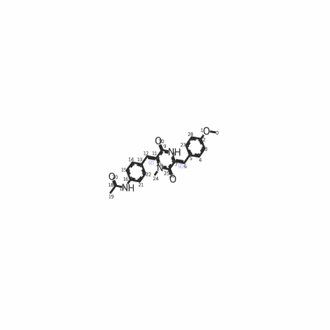 COc1ccc(/C=c2\[nH]c(=O)/c(=C/c3ccc(NC(C)=O)cc3)n(C)c2=O)cc1